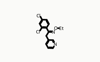 CCON=C(Cc1cccnc1)c1ccc(Cl)cc1Cl